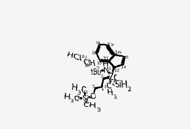 CC(C)(C)[NH][Zr]([CH3])(=[SiH2])([CH2]CCO[Si](C)(C)C)[CH]1C=Cc2ccccc21.Cl.Cl